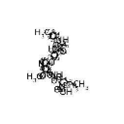 CCCCCC(CN(C)S(=O)O)OC(=O)NOc1cc2c(Oc3ccc(NC(=O)C4(C(=O)Nc5ccc(C)cc5)CC4)cc3)ccnc2cc1OC